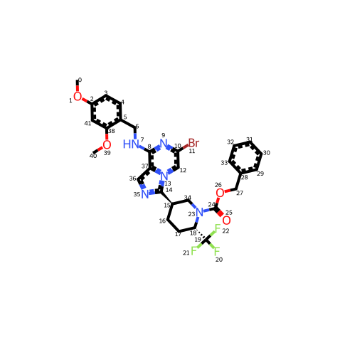 COc1ccc(CNc2nc(Br)cn3c([C@@H]4CC[C@@H](C(F)(F)F)N(C(=O)OCc5ccccc5)C4)ncc23)c(OC)c1